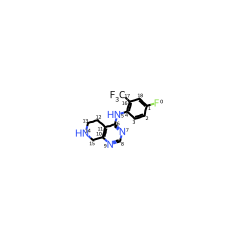 Fc1ccc(Nc2ncnc3c2CCNC3)c(C(F)(F)F)c1